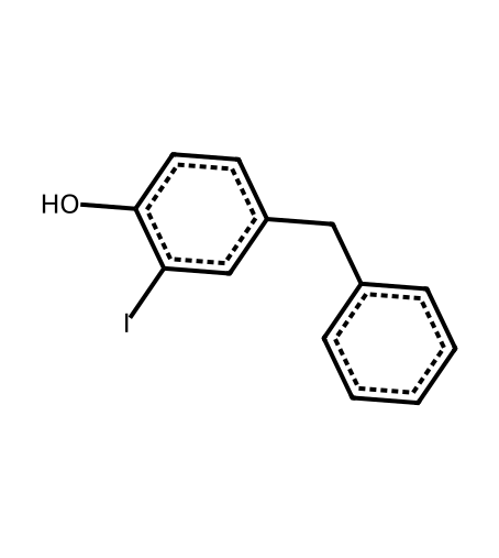 Oc1ccc(Cc2ccccc2)cc1I